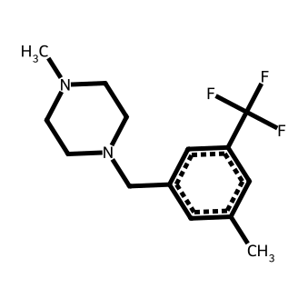 Cc1cc(CN2CCN(C)CC2)cc(C(F)(F)F)c1